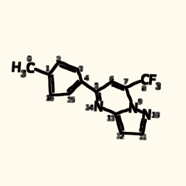 Cc1ccc(-c2cc(C(F)(F)F)n3nccc3n2)cc1